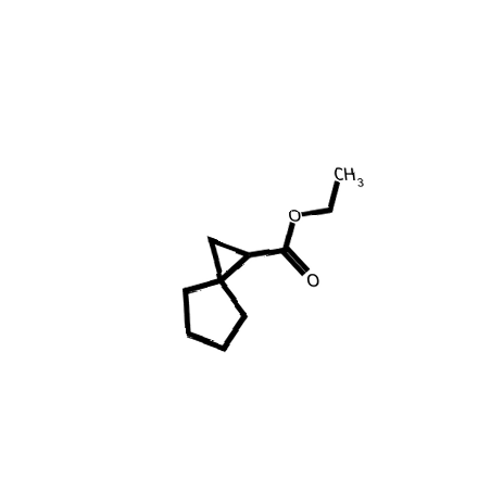 CCOC(=O)C1CC12CCCC2